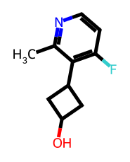 Cc1nccc(F)c1C1CC(O)C1